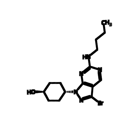 CCCCNc1ncc2c(Br)nn([C@H]3CC[C@H](O)CC3)c2n1